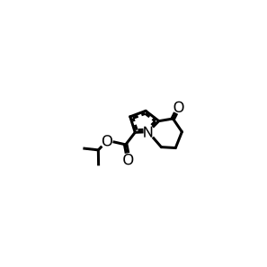 CC(C)OC(=O)c1ccc2n1CCCC2=O